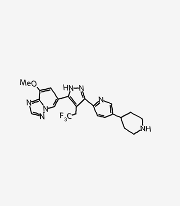 COc1cc(-c2[nH]nc(-c3ccc(C4CCNCC4)cn3)c2CC(F)(F)F)cn2ncnc12